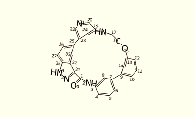 O=C1Nc2cccc(c2)-c2cccc(c2)OCCNc2cncc(c2)-c2ccc3[nH]nc1c3c2